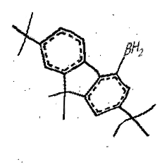 Bc1cc(C(C)(C)C)cc2c1-c1ccc(C(C)(C)C)cc1C2(C)C